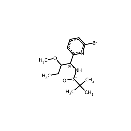 CCC(OC)[C@H](N[S+]([O-])C(C)(C)C)c1cccc(Br)n1